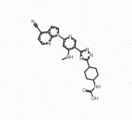 CNc1cc(-n2ccc3c(C#N)ccnc32)ncc1-c1nnc(C2CCC(NC(=O)O)CC2)s1